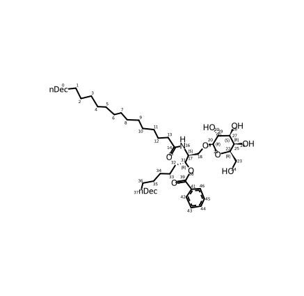 CCCCCCCCCCCCCCCCCCCCCCCC(=O)N[C@@H](CO[C@@H]1O[C@H](CO)[C@H](O)[C@H](O)[C@H]1O)[C@@H](CCCCCCCCCCCCCCC)OC(=O)c1ccccc1